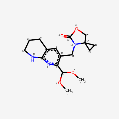 COC(OC)c1nc2c(cc1CN1C(=O)OCC13CC3)CCCN2